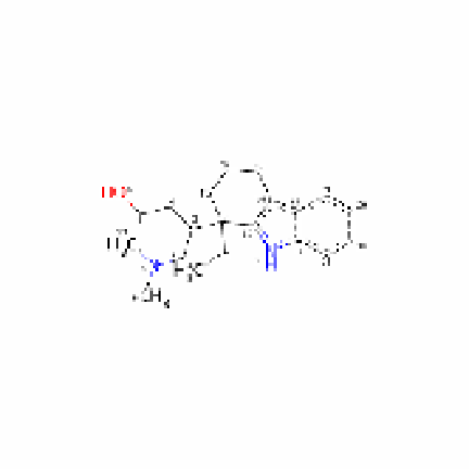 CCC1(C(CCO)CN(C)C)CCCc2c1[nH]c1ccccc21